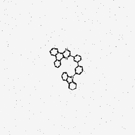 C1=c2c(n(-c3cccc(-c4cccc(-c5cnc6c7ccccc7c7ccccc7c6n5)c4)c3)c3ccccc23)=CCC1